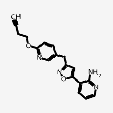 C#CCCOc1ccc(Cc2cc(-c3cccnc3N)on2)cn1